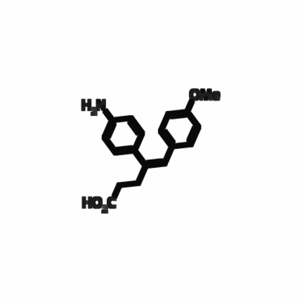 COc1ccc(C=C(CCC(=O)O)c2ccc(N)cc2)cc1